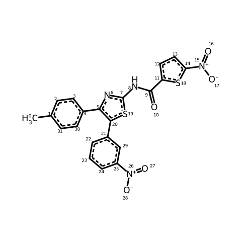 Cc1ccc(-c2nc(NC(=O)c3ccc([N+](=O)[O-])s3)sc2-c2cccc([N+](=O)[O-])c2)cc1